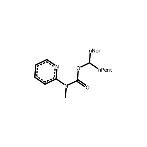 CCCCCCCCCC(CCCCC)OC(=O)N(C)c1ccccn1